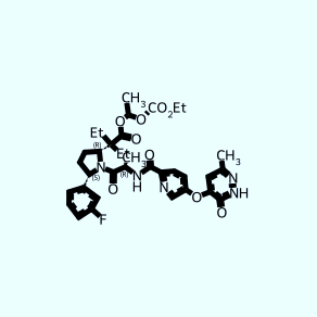 CCOC(=O)OC(C)OC(=O)C(CC)(CC)[C@H]1CC[C@@H](c2cccc(F)c2)N1C(=O)[C@@H](C)NC(=O)c1ccc(Oc2cc(C)n[nH]c2=O)cn1